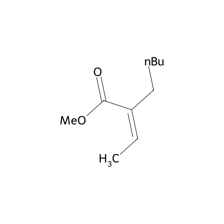 CC=C(CCCCC)C(=O)OC